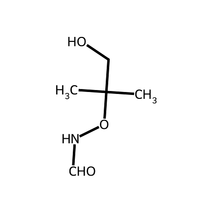 CC(C)(CO)ONC=O